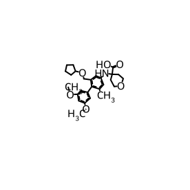 COc1cc(OC)cc(-c2c(C)cc(NC3(C(=O)O)CCOCC3)cc2COC2CCCC2)c1